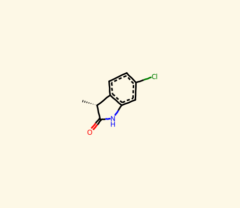 C[C@H]1C(=O)Nc2cc(Cl)ccc21